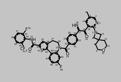 Cc1cnc(N2CC3(CCOCC3)C2)c(C(=O)C(=N)c2ccc(C(=O)N3CCc4cc(C(=O)Nc5c(F)cccc5C(F)(F)F)sc4-c4ccc(F)cc43)cc2)c1